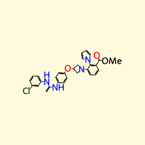 C=C(Nc1ccc(OC2CN(c3cccc(C(=O)OC)c3-n3cccc3)C2)cc1)Nc1cccc(Cl)c1